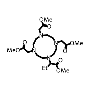 CCC(C(=O)OC)N1CCN(CC(=O)OC)CCN(CC(=O)OC)CCN(CC(=O)OC)CC1